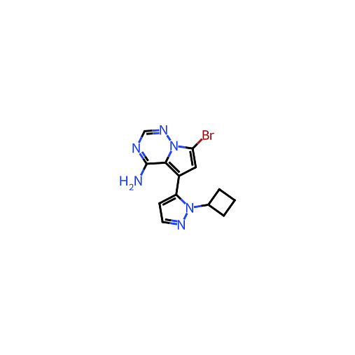 Nc1ncnn2c(Br)cc(-c3ccnn3C3CCC3)c12